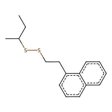 CCC(C)SSCCc1cccc2ccccc12